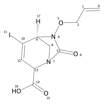 C=CCON1C(=O)N2C[C@H]1C(I)=CC2C(=O)O